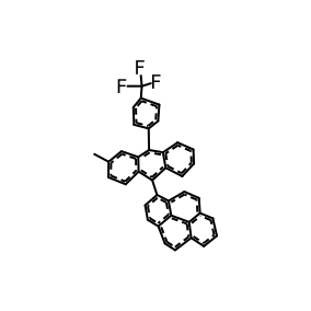 Cc1ccc2c(-c3ccc4ccc5cccc6ccc3c4c56)c3ccccc3c(-c3ccc(C(F)(F)F)cc3)c2c1